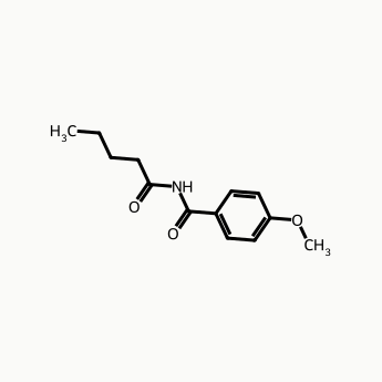 CCCCC(=O)NC(=O)c1ccc(OC)cc1